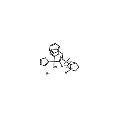 C[N+](C)(CCc1ccccc1)C1C2CC[C@@H]1[C@H](OC(=O)C(O)(c1cccs1)c1cccs1)C2.[Br-]